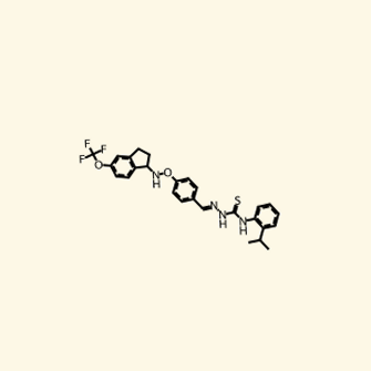 CC(C)c1ccccc1NC(=S)N/N=C/c1ccc(ONC2CCc3cc(OC(F)(F)F)ccc32)cc1